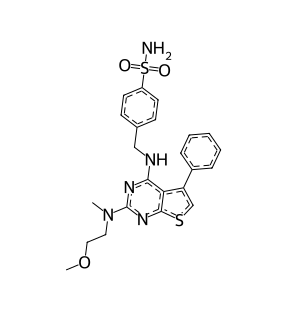 COCCN(C)c1nc(NCc2ccc(S(N)(=O)=O)cc2)c2c(-c3ccccc3)csc2n1